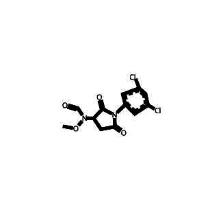 CON(C=O)C1CC(=O)N(c2cc(Cl)cc(Cl)c2)C1=O